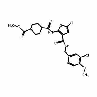 COC(=O)C1CCC(C(=O)Nc2sc(Cl)cc2C(=O)NCc2ccc(OC)c(Cl)c2)CC1